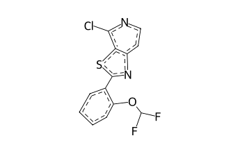 FC(F)Oc1ccccc1-c1nc2ccnc(Cl)c2s1